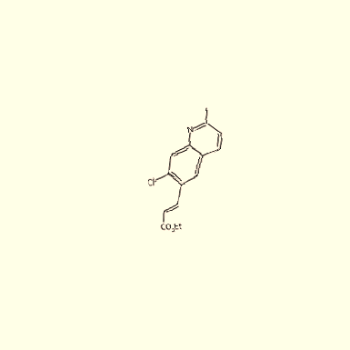 CCOC(=O)/C=C/c1cc2ccc(C)nc2cc1Cl